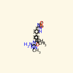 Cc1nc(N)c2c(n1)OC(C)(C)C(c1ccc([C@H]3CC[C@H](CC4=NS(=O)ON4)CC3)cc1)=N2